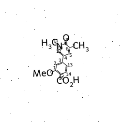 COc1cc(-c2cc(C)c(=O)n(C)c2)ccc1C(=O)O